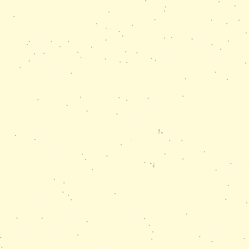 CS(=O)(=O)c1cccc(C(=O)c2cnc(N3CC4CCOC4C3)s2)c1